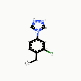 CCc1ccc(-n2cnnc2)cc1Cl